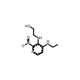 CCNc1ccnc([N+](=O)[O-])c1NCCO